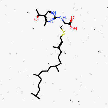 CC(=O)c1cnc(N[C@@H](CSC/C=C(\C)CCCC(C)CCCC(C)CCCC(C)C)C(=O)O)nc1C